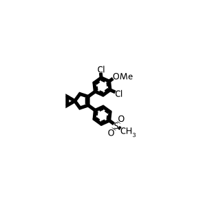 COc1c(Cl)cc(C2=C(c3ccc(S(C)(=O)=O)cc3)CC3(CC3)C2)cc1Cl